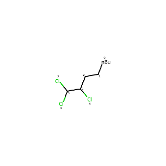 CCCCCCC(Cl)[C](Cl)Cl